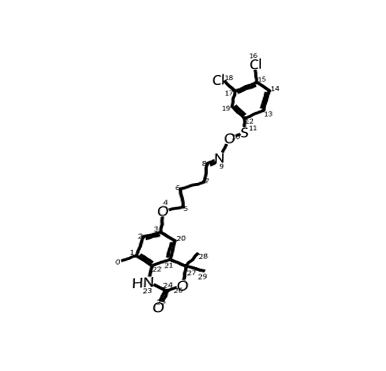 Cc1cc(OCCCC=NOSc2ccc(Cl)c(Cl)c2)cc2c1NC(=O)OC2(C)C